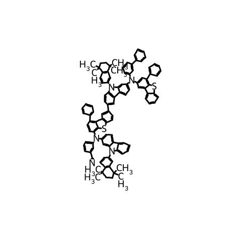 CC1(C)CCC(C)(C)c2cc(-n3c4ccc(-c5ccc6sc7c(N(c8cccc(C#N)c8)c8ccc9c%10ccccc%10n(-c%10ccc%11c(c%10)C(C)(C)CCC%11(C)C)c9c8)ccc(-c8ccccc8)c7c6c5)cc4c4ccc(N(c5cccc(-c6ccccc6)c5)c5cc(-c6ccccc6)c6sc7ccccc7c6c5)cc43)ccc21